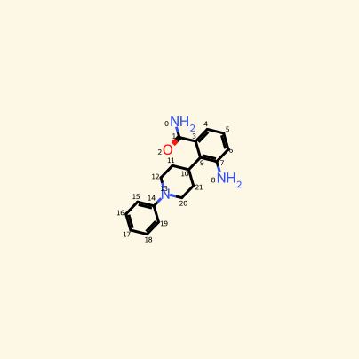 NC(=O)c1cccc(N)c1C1CCN(c2ccccc2)CC1